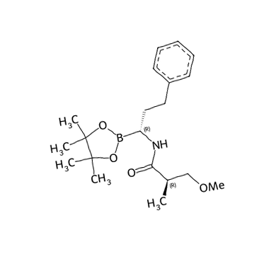 COC[C@@H](C)C(=O)N[C@@H](CCc1ccccc1)B1OC(C)(C)C(C)(C)O1